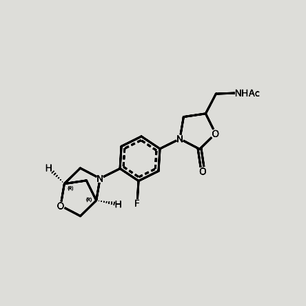 CC(=O)NCC1CN(c2ccc(N3C[C@H]4C[C@@H]3CO4)c(F)c2)C(=O)O1